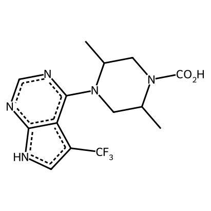 CC1CN(c2ncnc3[nH]cc(C(F)(F)F)c23)C(C)CN1C(=O)O